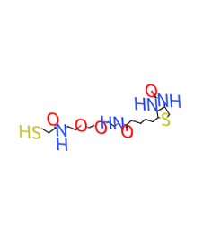 O=C(CCS)NCCOCCOCCNC(=O)CCCCC1SCC2NC(=O)NC21